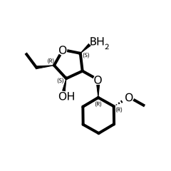 B[C@@H]1O[C@H](CC)[C@H](O)C1O[C@@H]1CCCC[C@H]1OC